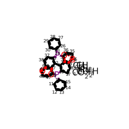 CC(=O)O.CC(=O)O.[Ru].c1ccc(P(c2ccccc2)c2ccc3c(c2-c2c(P(c4ccccc4)c4ccccc4)ccc4c2OCO4)OCO3)cc1